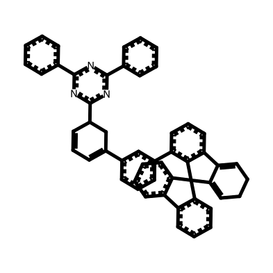 C1=CC(c2nc(-c3ccccc3)nc(-c3ccccc3)n2)CC(c2cccc(-c3cccc4c3C3(C5=CCCC=C54)c4ccccc4-c4ccccc43)c2)=C1